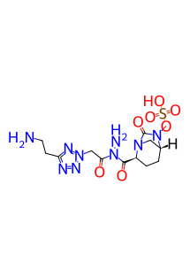 NCCc1nnn(CC(=O)N(N)C(=O)[C@@H]2CC[C@@H]3CN2C(=O)N3OS(=O)(=O)O)n1